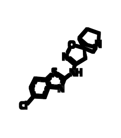 Clc1ccc2sc(NC3=NO[C@@]4(C3)CN3CCC4CC3)nc2c1